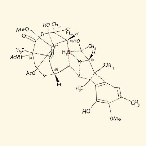 COc1c(C)cc2c(c1O)C1(C)C3C4[C@@H]5SC[C@H](NC(C)=O)C(=O)OC(C)(C)[C@@H](c6c(O)c(OC)c(C)c(OC(C)=O)c65)N4C(C)(O)[C@@H](N3C)C21C